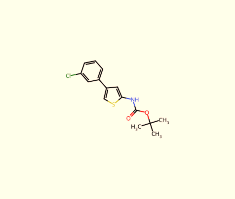 CC(C)(C)OC(=O)Nc1cc(-c2cccc(Cl)c2)cs1